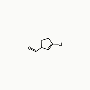 O=CC1C=C(Cl)CC1